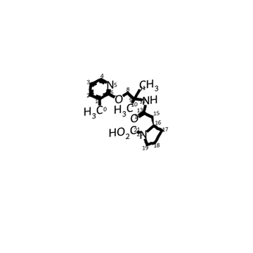 Cc1cccnc1OCC(C)(C)NC(=O)C[C@H]1CCCN1C(=O)O